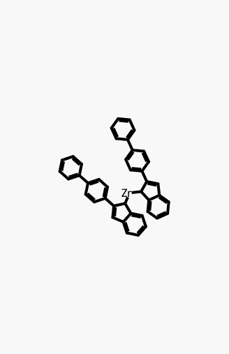 C1=C(c2ccc(-c3ccccc3)cc2)[CH]([Zr][CH]2C(c3ccc(-c4ccccc4)cc3)=Cc3ccccc32)c2ccccc21